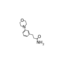 NC(=O)CCc1cccc(N2CCOCC2)c1